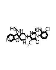 Cc1c(N2CCC3(CC2)Oc2cnccc2C3NS)nc(C)n(-c2cccc(Cl)c2Cl)c1=O